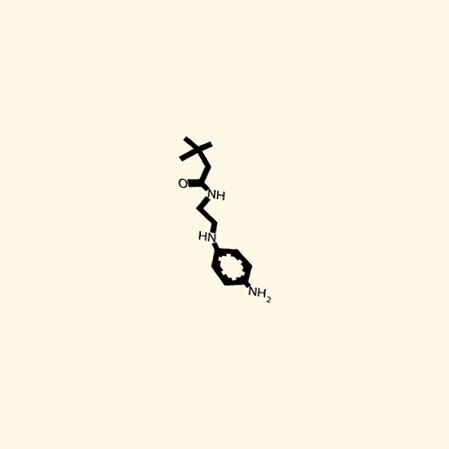 CC(C)(C)CC(=O)NCCNc1ccc(N)cc1